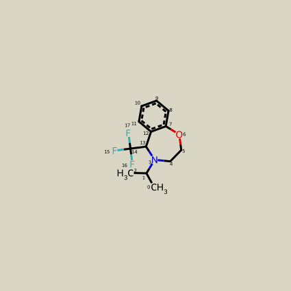 CC(C)N1CCOc2ccccc2C1C(F)(F)F